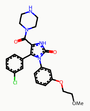 COCCOc1cccc(-n2c(-c3cccc(Cl)c3)c(C(=O)N3CCNCC3)[nH]c2=O)c1